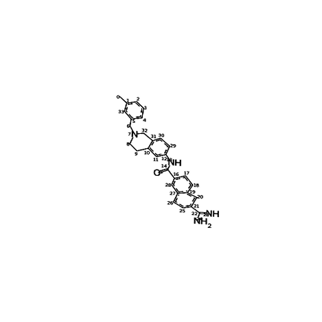 Cc1cccc(CN2CCc3cc(NC(=O)c4ccc5cc(C(=N)N)ccc5c4)ccc3C2)c1